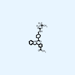 CC(=O)c1cccc(C(Cc2ccccc2)NC(=O)C2CCC(CNC(=O)OC(C)(C)C)CC2)c1